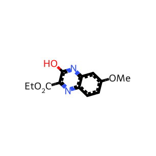 CCOC(=O)c1nc2ccc(OC)cc2nc1O